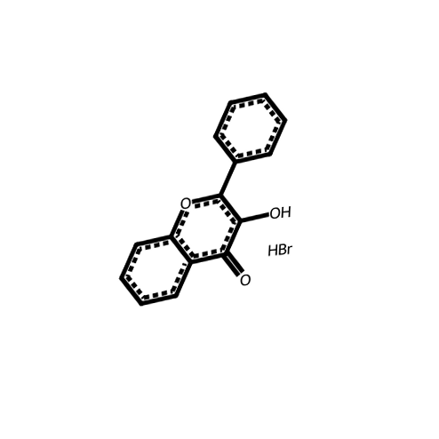 Br.O=c1c(O)c(-c2ccccc2)oc2ccccc12